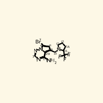 Nc1ncnn2c(Br)cc(CN3CCCC3C(F)(F)F)c12